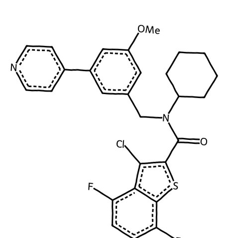 COc1cc(CN(C(=O)c2sc3c(F)ccc(F)c3c2Cl)C2CCCCC2)cc(-c2ccncc2)c1